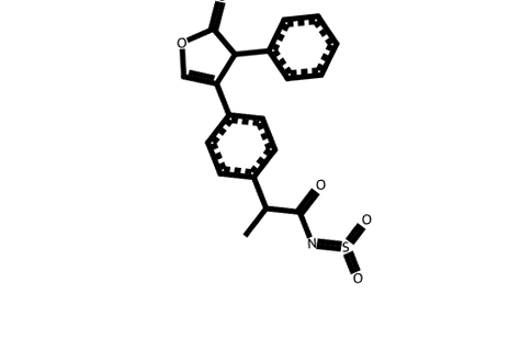 CC(C(=O)N=S(=O)=O)c1ccc(C2=COC(=O)C2c2ccccc2)cc1